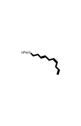 [CH2]CCCCCCC=CC/C=C\CC=C